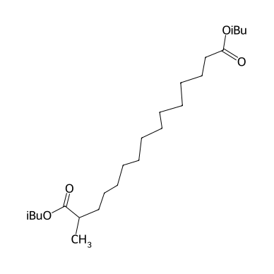 CC(C)COC(=O)CCCCCCCCCCCCC(C)C(=O)OCC(C)C